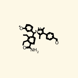 CCc1c(C(N)=O)ccc(C(c2cccc(OC)c2)n2nc(C)c(-c3ccc(C=O)cc3)c2C)c1CC